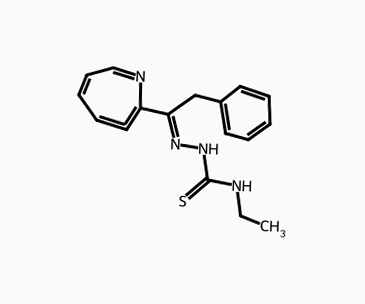 CCNC(=S)N/N=C(\Cc1ccccc1)C1=C=CC=CC=N1